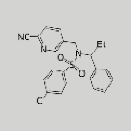 CCC(c1ccccc1)N(Cc1ccc(C#N)nc1)S(=O)(=O)c1ccc(Cl)cc1